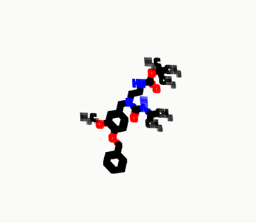 COc1cc(CN(CCNC(=O)OC(C)(C)C)C(=O)NC(C)C)ccc1OCc1ccccc1